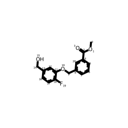 COC(=O)c1cccc(COc2cc(CO)ccc2F)c1